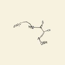 CCOC(=O)CNC(=O)C(C#N)=NOC